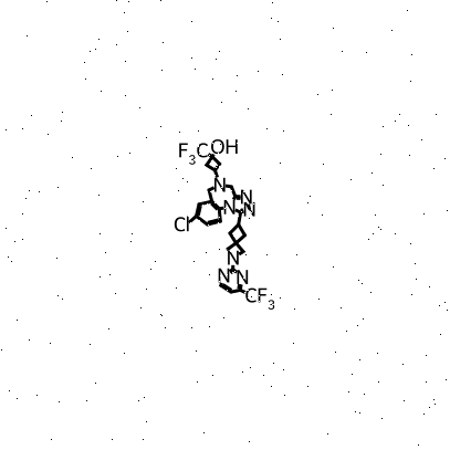 OC1(C(F)(F)F)CC(N2Cc3cc(Cl)ccc3-n3c(nnc3C3CC4(C3)CN(c3nccc(C(F)(F)F)n3)C4)C2)C1